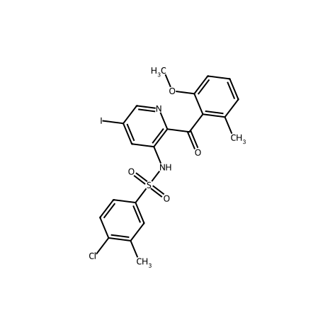 COc1cccc(C)c1C(=O)c1ncc(I)cc1NS(=O)(=O)c1ccc(Cl)c(C)c1